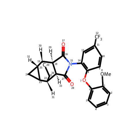 COc1ccccc1Oc1ccc(C(F)(F)F)cc1N1C(=O)[C@@H]2[C@@H]3CC[C@@H](C4C[C@@H]43)[C@@H]2C1=O